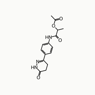 CC(=O)OC(C)C(=O)Nc1ccc(C2=NNC(=O)CC2)cc1